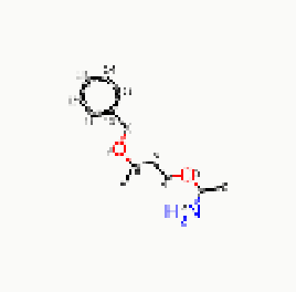 CC(N)OCCC(C)OCc1ccccc1